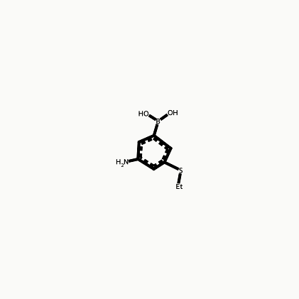 CCSc1cc(N)cc(B(O)O)c1